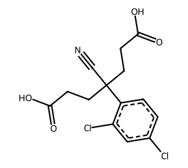 N#CC(CCC(=O)O)(CCC(=O)O)c1ccc(Cl)cc1Cl